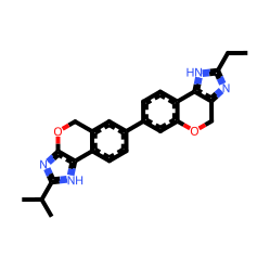 CCc1nc2c([nH]1)-c1ccc(-c3ccc4c(c3)COc3nc(C(C)C)[nH]c3-4)cc1OC2